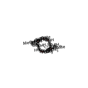 CO[C@@H]1C[C@H](CC[C@H](C)[C@H](O)[C@H](C)[C@H]2OC(=O)/C(C)=C/C[C@H](O)C[C@@H]3C=CC[C@@H](C[C@H](OC)[C@@H](C)[C@@H](O)C[C@@H](O)[C@H](C)[C@@H]([C@@H](C)[C@@H](O)[C@@H](C)CC[C@H]4C[C@@H](OC)C[C@H](C)O4)OC(=O)/C(C)=C/C[C@H](O)C[C@@H]4C=CC[C@@H](C[C@H](OC)[C@@H](C)[C@@H](O)C[C@@H](O)[C@@H]2C)O4)O3)O[C@@H](C)C1